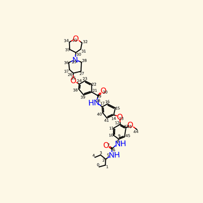 CCC(CC)NC(=O)Nc1ccc(Oc2ccc(NC(=O)c3ccc(OC4CCN(C5CCOCC5)CC4)cc3)cc2)c(OC)c1